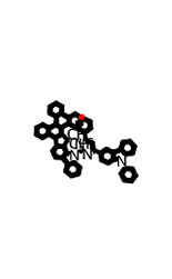 CC1(C)c2c(c3ccccc3c3c4ccccc4c4ccccc4c23)-c2ccc3c4ccccc4n(-c4nc(-c5ccccc5)cc(-c5ccc6c(c5)c5ccccc5n6-c5ccccc5)n4)c3c21